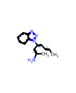 C/C=C/C=C(\C=C(/C)N)n1nnc2ccccc21